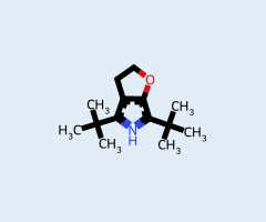 CC(C)(C)c1[nH]c(C(C)(C)C)c2c1CCO2